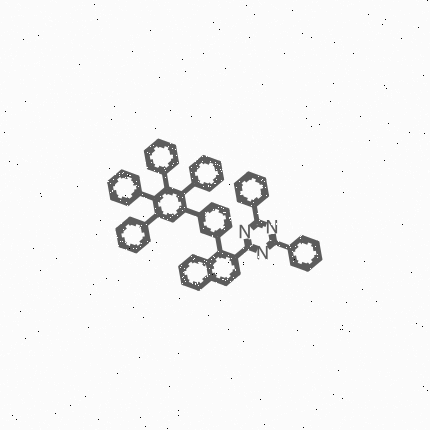 c1ccc(-c2nc(-c3ccccc3)nc(-c3ccc4ccccc4c3-c3cccc(-c4cc(-c5ccccc5)c(-c5ccccc5)c(-c5ccccc5)c4-c4ccccc4)c3)n2)cc1